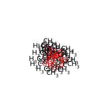 C[SiH]1O[Si]2(O[Si](C)(C)C)O[Si]3(O[Si](C)(C)C)O[Si](O[SiH2]O[Si](C)(C)C)(O[Si](C)(C)C)O[Si]4(O[Si](C)(C)C)O[Si](O[Si](C)(C)C)(O1)O[Si](O[Si](C)(C)C)(O2)O[Si](O[Si](C)(C)C)(O3)O4